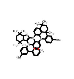 Cc1cc2c3c(c1)N1c4ccc(C(C)(C)C)cc4C4(C)CCC(C)(C)c5ccc(c1c54)B3C1=C(C3C(S1)C(C)(C)CCC3(C)C)N2c1ccc(C(C)(C)C)cc1-c1ccccc1